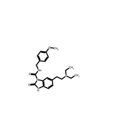 CCN(CC)CCc1ccc2[nH]c(=O)n(C(=O)NCc3ccc(OC)cc3)c2c1